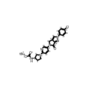 CC(C)(C)OC(=O)N[C@@H]1CCN(c2ccc(N3Cc4cn(-c5ccc(Cl)cc5)nc4C3=O)cn2)C1